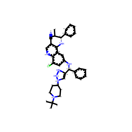 CC(C)[C@@H](Nc1c(C#N)cnc2c(Cl)cc(N[C@H](C3=CN(C4CCN(C(C)(C)C)CC4)NN3)c3ccccc3)cc12)c1ccccc1